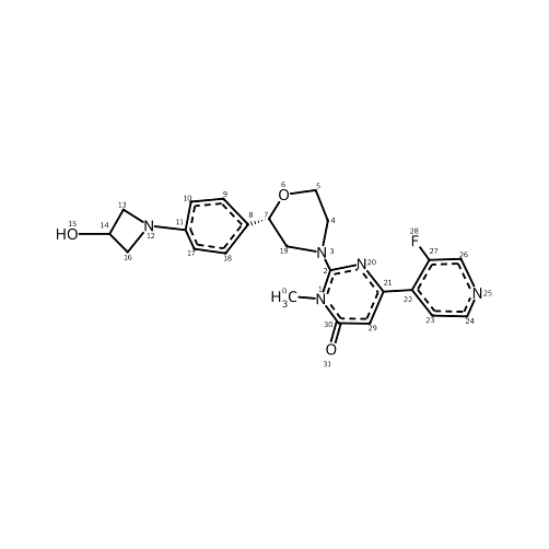 Cn1c(N2CCO[C@@H](c3ccc(N4CC(O)C4)cc3)C2)nc(-c2ccncc2F)cc1=O